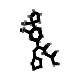 CNC(=O)NC(=O)C(CC1CCCC1)c1ccc(C2(C)N=NN=N2)c(C(F)(F)F)c1